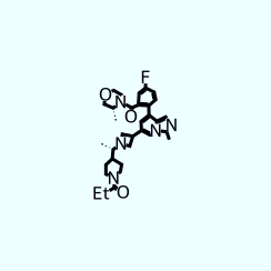 CCC(=O)N1CCC([C@H](C)N2CC(c3cc(-c4ccc(F)cc4C(=O)N4CCOC[C@H]4C)c4cnc(C)n4c3)C2)CC1